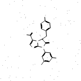 C[C@@]1(Cc2ccc(N)cc2)C(=O)N(c2cc(Cl)cc(Cl)c2)c2ncc(C(=O)O)n21